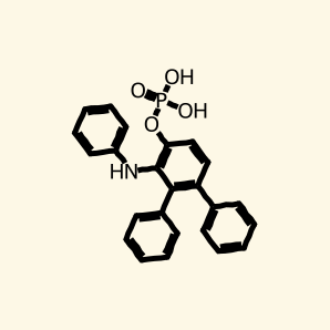 O=P(O)(O)Oc1ccc(-c2ccccc2)c(-c2ccccc2)c1Nc1ccccc1